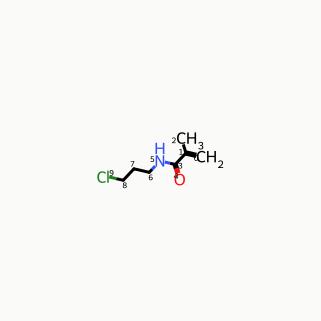 C=C(C)C(=O)NCCCCl